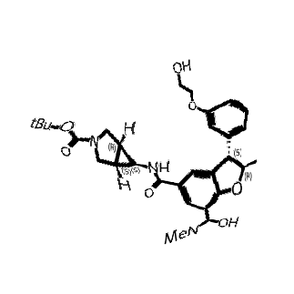 CNC(O)c1cc(C(=O)N[C@H]2[C@@H]3CN(C(=O)OC(C)(C)C)C[C@@H]32)cc2c1O[C@H](C)[C@H]2c1cccc(OCCO)c1